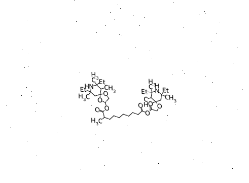 CCC1(C)CC2(OCC(OC(=O)CCCCCCCC(C)C(=O)OC3COC4(CC(C)(CC)NC(C)(CC)C4C)O3)O2)C(C)C(C)(CC)N1